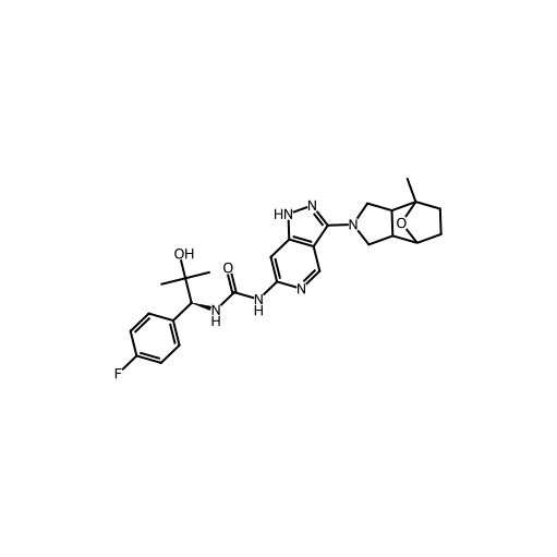 CC12CCC(O1)C1CN(c3n[nH]c4cc(NC(=O)N[C@@H](c5ccc(F)cc5)C(C)(C)O)ncc34)CC12